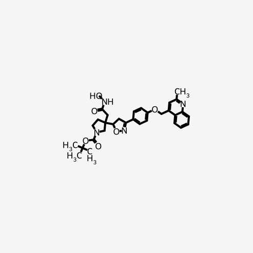 Cc1cc(COc2ccc(C3=NOC(C4(CC(=O)NO)CCN(C(=O)OC(C)(C)C)C4)C3)cc2)c2ccccc2n1